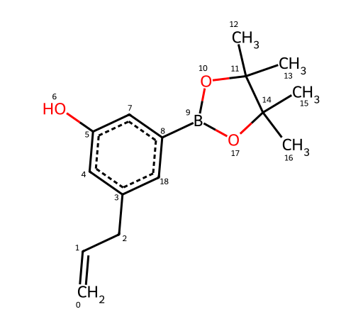 C=CCc1cc(O)cc(B2OC(C)(C)C(C)(C)O2)c1